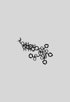 CC[C@@H](C)CO[C@]1(C)O[C@H]2C[C@H]3[C@@H]4CC=C5C[C@@H](O[C@@H]6OC(COC(=O)c7ccccc7)C(OC(=O)c7ccccc7)C(OC(=O)c7ccccc7)C6OC(=O)c6ccccc6)CC[C@]5(C)[C@H]4CC[C@]3(C)[C@H]2[C@@H]1C